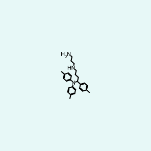 Cc1ccc(C(CCCNCCCN)N(c2ccc(C)cc2)c2ccc(C)cc2)cc1